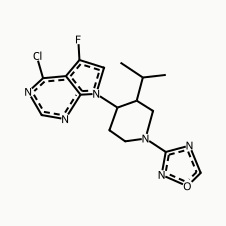 CC(C)C1CN(c2ncon2)CCC1n1cc(F)c2c(Cl)ncnc21